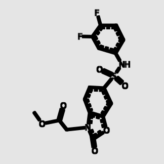 COC(=O)Cn1c(=O)oc2cc(S(=O)(=O)Nc3ccc(F)c(F)c3)ccc21